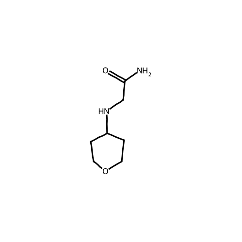 NC(=O)CNC1CCOCC1